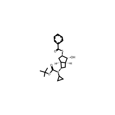 CC(C)(C)OC(=O)N(C1CC1)[C@@H]1C[C@@H]2[C@@H](O)[C@H](SC(=O)c3ccccc3)C[C@@H]21